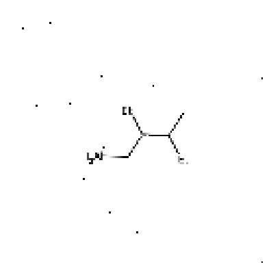 CCC(C)C(CC)[CH2][AlH2]